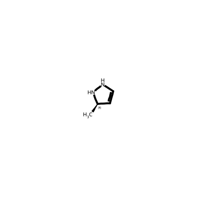 C[C@@H]1C=CNN1